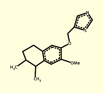 COc1cc2c(cc1OCc1cncs1)CCC(C)C2C